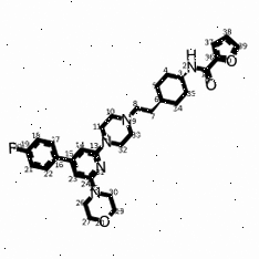 O=C(N[C@H]1CC[C@H](CCN2CCN(c3cc(-c4ccc(F)cc4)cc(N4CCOCC4)n3)CC2)CC1)c1ccco1